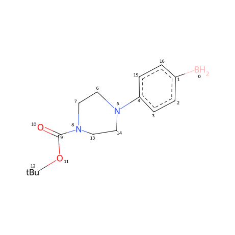 Bc1ccc(N2CCN(C(=O)OC(C)(C)C)CC2)cc1